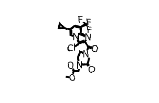 COC(=O)CN1CCN(C(=O)c2nc3c(C(F)(F)F)cc(C4CC4)cn3c2Cl)CC1=O